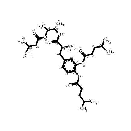 CC(C)CCC(=O)Oc1ccc(C[C@H](N)C(=O)O[C@@H](C)C(C)OC(=O)CC(C)C)cc1OC(=O)CCC(C)C